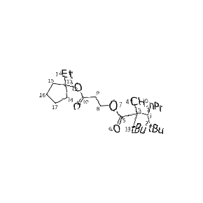 CCCC(C(C)(C)C)C(C)(C(=O)OCCC(=O)OC1(CC)CCCC1)C(C)(C)C